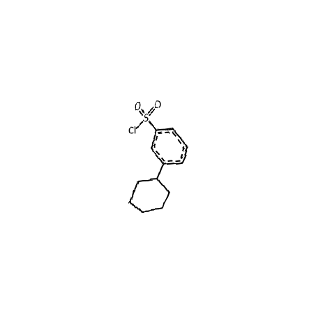 O=S(=O)(Cl)c1cccc(C2CCCCC2)c1